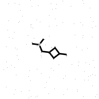 CC1CC(CN(C)C)C1